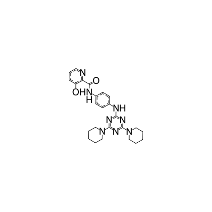 O=C(Nc1ccc(Nc2nc(N3CCCCC3)nc(N3CCCCC3)n2)cc1)c1ncccc1O